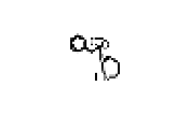 c1ccc(CC2(N3C4CCCNCC43)OCO2)cc1